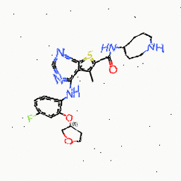 Cc1c(C(=O)NC2CCCNCC2)sc2ncnc(Nc3ccc(F)cc3O[C@@H]3CCOC3)c12